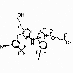 CC[C@@H]1C[C@H](Nc2ncc(OCCO)c(Cc3cc(C#N)cc(C(F)(F)F)c3)n2)c2cc(C(F)(F)F)ccc2N1C(=O)OCCC(=O)O